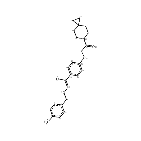 CCC(=NOCc1ccc(C(F)(F)F)cc1)c1ccc(OCC(=O)N2CCC3(CC2)CC3)cc1